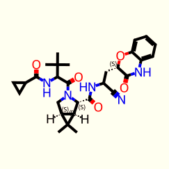 CC(C)(C)C(NC(=O)C1CC1)C(=O)N1C[C@H]2[C@@H]([C@H]1C(=O)NC(C#N)C[C@@H]1Oc3ccccc3NC1=O)C2(C)C